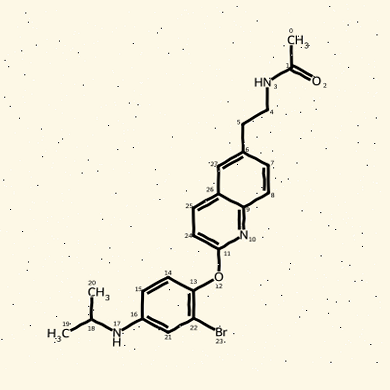 CC(=O)NCCc1ccc2nc(Oc3ccc(NC(C)C)cc3Br)ccc2c1